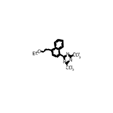 CCOCCc1ccc(-c2nc(C(Cl)(Cl)Cl)nc(C(Cl)(Cl)Cl)n2)c2ccccc12